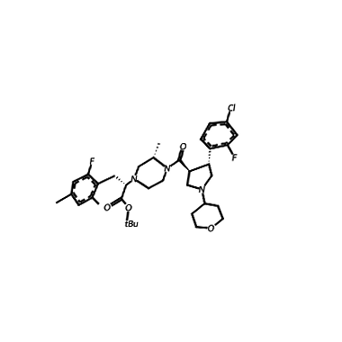 Cc1cc(C)c(C[C@@H](C(=O)OC(C)(C)C)N2CCN(C(=O)[C@@H]3CN(C4CCOCC4)C[C@H]3c3ccc(Cl)cc3F)[C@@H](C)C2)c(F)c1